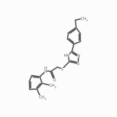 CCc1ccc(-c2nnc(SCC(=O)Nc3cccc(C)c3C)[nH]2)cc1